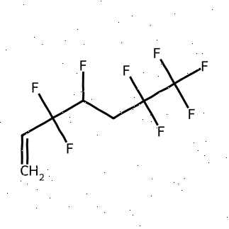 C=CC(F)(F)C(F)CC(F)(F)C(F)(F)F